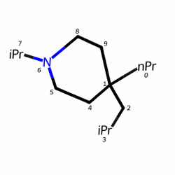 CCCC1(CC(C)C)CCN(C(C)C)CC1